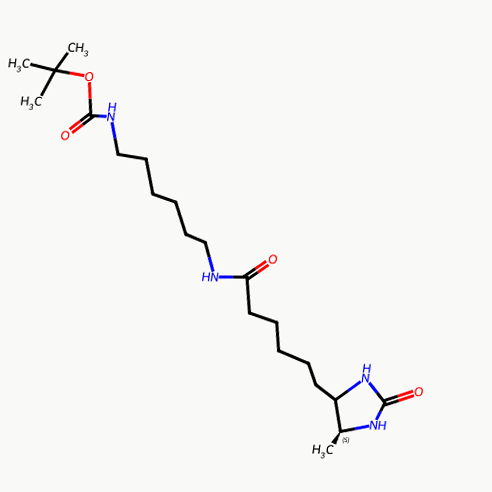 C[C@@H]1NC(=O)NC1CCCCCC(=O)NCCCCCCNC(=O)OC(C)(C)C